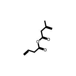 C=CCC(=O)OC(=O)CC(=C)C